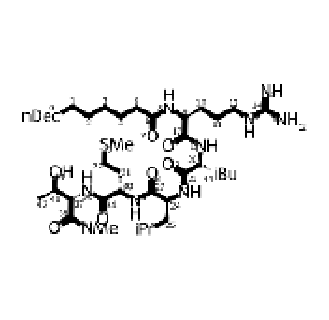 CCCCCCCCCCCCCCCC(=O)N[C@@H](CCCNC(=N)N)C(=O)N[C@H](C(=O)N[C@@H](CC(C)C)C(=O)N[C@@H](CCSC)C(=O)N[C@H](C(=O)NC)[C@@H](C)O)[C@@H](C)CC